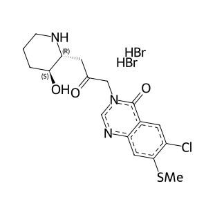 Br.Br.CSc1cc2ncn(CC(=O)C[C@H]3NCCC[C@@H]3O)c(=O)c2cc1Cl